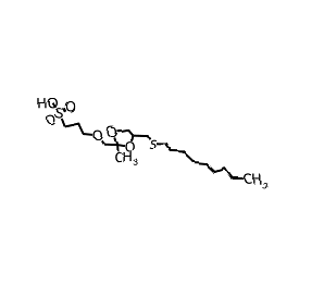 CCCCCCCCCSCC1COC(C)(COCCCS(=O)(=O)O)O1